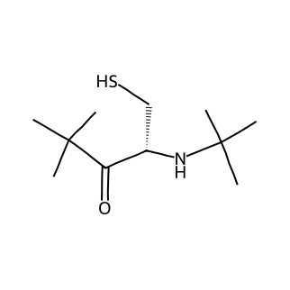 CC(C)(C)N[C@@H](CS)C(=O)C(C)(C)C